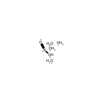 O.O.O.O.O=BO